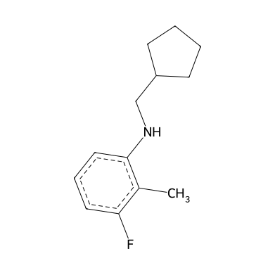 Cc1c(F)cccc1NCC1CCCC1